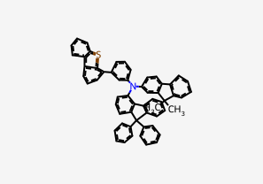 CC1(C)c2ccccc2-c2ccc(N(c3cccc(-c4cccc5c4sc4ccccc45)c3)c3cccc4c3-c3ccccc3C4(c3ccccc3)c3ccccc3)cc21